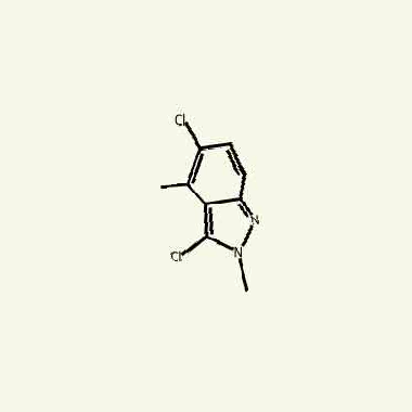 Cc1c(Cl)ccc2nn(C)c(Cl)c12